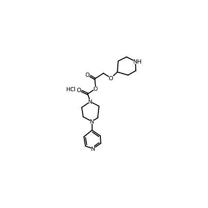 Cl.O=C(COC1CCNCC1)OC(=O)N1CCN(c2ccncc2)CC1